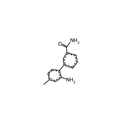 Cc1ccc(-c2cccc(C(N)=O)c2)c(N)c1